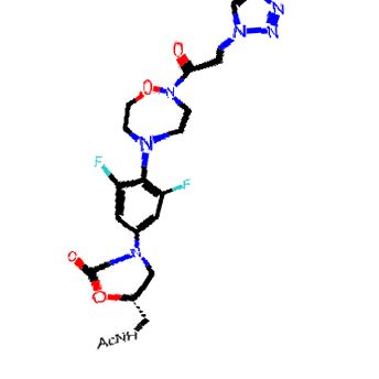 CC(=O)NC[C@H]1CN(c2cc(F)c(N3CCON(C(=O)Cn4ccnn4)CC3)c(F)c2)C(=O)O1